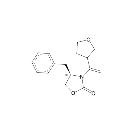 C=C(C1CCOC1)N1C(=O)OC[C@H]1Cc1ccccc1